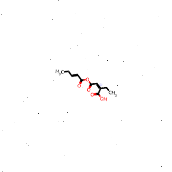 CCC=CC(=O)OC(=O)/C=C(/CC)C(=O)O